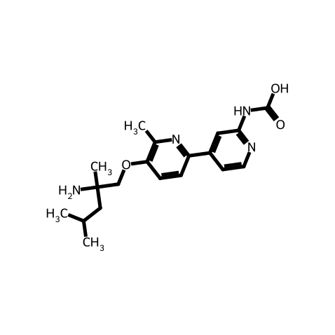 Cc1nc(-c2ccnc(NC(=O)O)c2)ccc1OCC(C)(N)CC(C)C